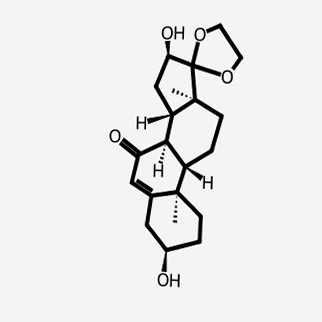 C[C@]12CC[C@@H](O)CC1=CC(=O)[C@@H]1[C@@H]2CC[C@@]2(C)[C@H]1C[C@@H](O)C21OCCO1